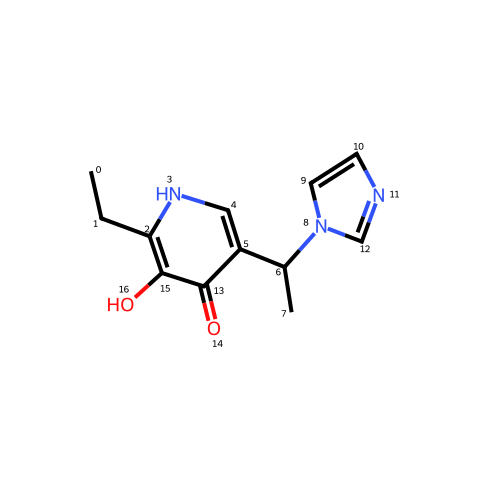 CCc1[nH]cc(C(C)n2ccnc2)c(=O)c1O